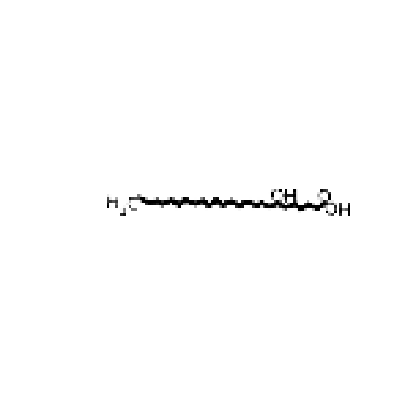 CCCCCCCCCCCCCCCCCCCC(O)CCCCCC(=O)O